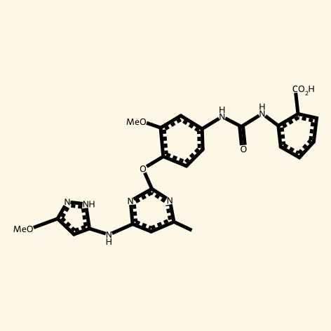 COc1cc(Nc2cc(C)nc(Oc3ccc(NC(=O)Nc4ccccc4C(=O)O)cc3OC)n2)[nH]n1